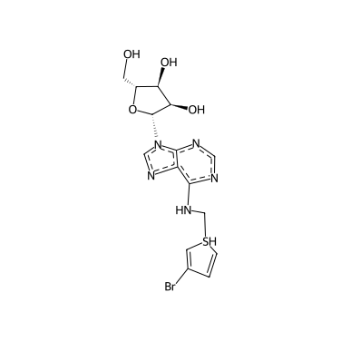 OC[C@H]1O[C@@H](n2cnc3c(NC[SH]4C=CC(Br)=C4)ncnc32)[C@H](O)[C@@H]1O